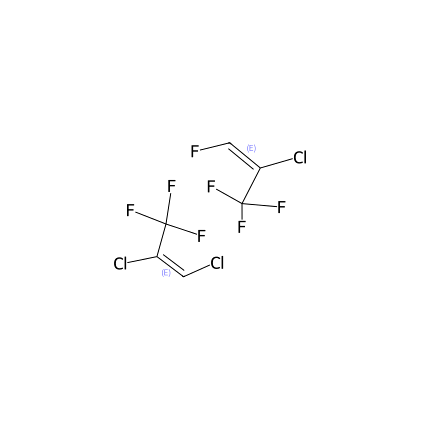 F/C=C(/Cl)C(F)(F)F.FC(F)(F)/C(Cl)=C\Cl